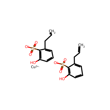 C=CCc1cccc(O)c1S(=O)(=O)[O-].C=CCc1cccc(O)c1S(=O)(=O)[O-].[Cu+2]